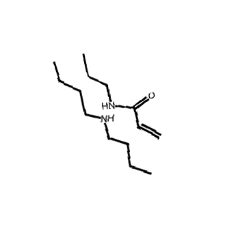 C=CC(=O)NCCC.CCCCNCCCC